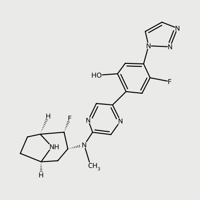 CN(c1cnc(-c2cc(F)c(-n3ccnn3)cc2O)cn1)[C@@H]1C[C@H]2CC[C@H](N2)[C@@H]1F